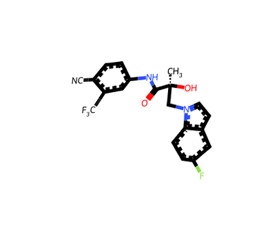 C[C@](O)(Cn1ccc2cc(F)ccc21)C(=O)Nc1ccc(C#N)c(C(F)(F)F)c1